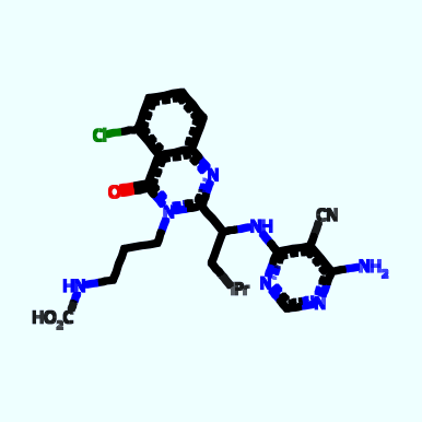 CC(C)CC(Nc1ncnc(N)c1C#N)c1nc2cccc(Cl)c2c(=O)n1CCCNC(=O)O